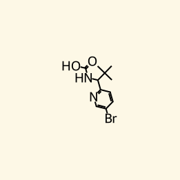 CC(C)(C)C(NC(=O)O)c1ccc(Br)cn1